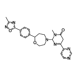 Cc1noc(-c2ccc(C3CCN(C4N=C(c5ccncn5)CC(=O)N4C)CCO3)cc2)n1